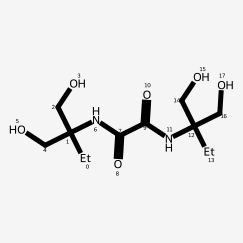 CCC(CO)(CO)NC(=O)C(=O)NC(CC)(CO)CO